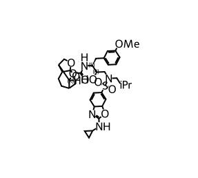 COc1cccc(C[C@H](NC(=O)O[C@@H]2C3CCC4C(OC3)OCC42)[C@H](O)CN(CC(C)C)S(=O)(=O)C2=CC3OC(NC4CC4)=NC3C=C2)c1